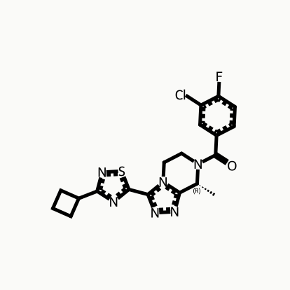 C[C@@H]1c2nnc(-c3nc(C4CCC4)ns3)n2CCN1C(=O)c1ccc(F)c(Cl)c1